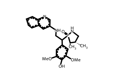 COc1cc(C(CNc2cnc3ccccc3c2)P2(=O)NC[C@H](C)[C@@H]2C)cc(OC)c1O